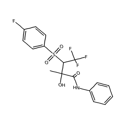 CC(O)(C(=O)Nc1ccccc1)C(C(F)(F)F)S(=O)(=O)c1ccc(F)cc1